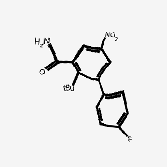 CC(C)(C)c1c(C(N)=O)cc([N+](=O)[O-])cc1-c1ccc(F)cc1